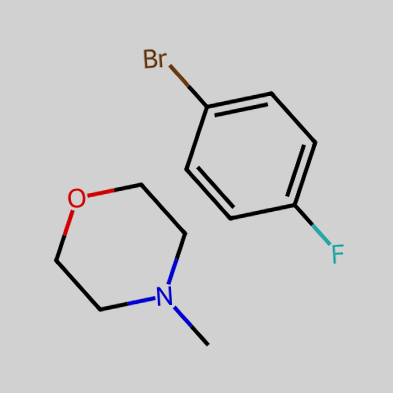 CN1CCOCC1.Fc1ccc(Br)cc1